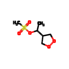 CC(OS(C)(=O)=O)C1COOC1